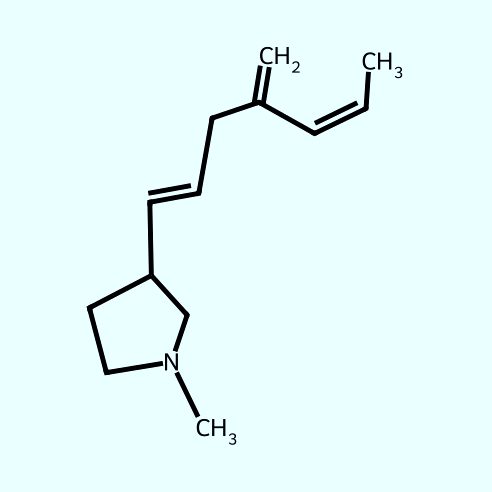 C=C(/C=C\C)C/C=C/C1CCN(C)C1